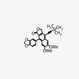 COc1cc2c(C#C[Si](C)(C)C)c3c(c(-c4ccc5c(c4)OCO5)c2cc1OC)C(=O)OC3